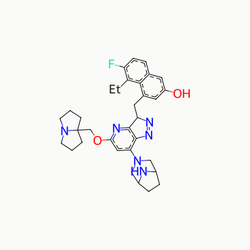 CCc1c(F)ccc2cc(O)cc(CC3N=Nc4c(N5CC6CCC(C5)N6)cc(OCC56CCCN5CCC6)nc43)c12